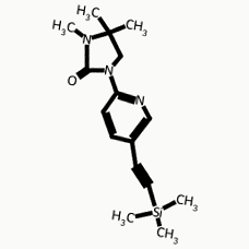 CN1C(=O)N(c2ccc(C#C[Si](C)(C)C)cn2)CC1(C)C